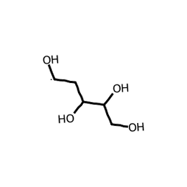 O[CH]CC(O)C(O)CO